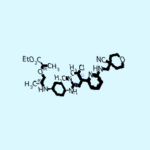 C=N/C(=C\C(=C(/C)Cl)c1cccc(NCC2(C#N)CCOCC2)n1)N[C@H]1CC[C@H](N[C@H](C)CO[C@H](C)C(=O)OCC)CC1